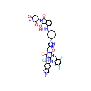 Cn1cc2cc(/N=c3\[nH]c(=O)n(Cc4cn(C5CCCCC(Nc6cccc7c6C(O)N(C6CCC(=O)NC6=O)C7=O)CC5)nn4)c(=O)n3Cc3cc(F)c(F)cc3F)c(Cl)cc2n1